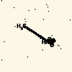 CCCCCCCCCCCCCCCCCCCCCNC1=CC(=O)c2ccccc2C1=O